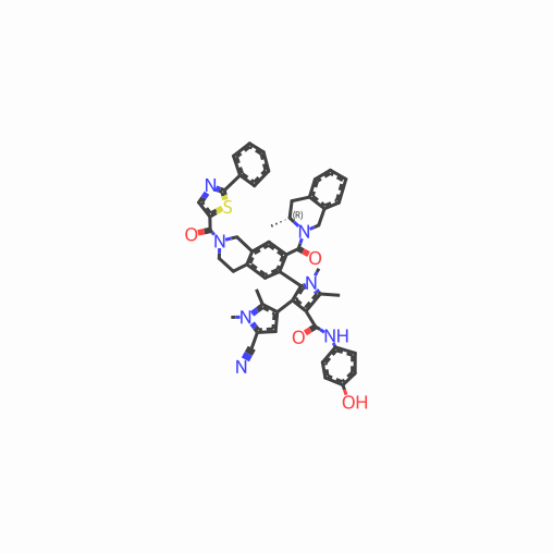 Cc1c(-c2c(C(=O)Nc3ccc(O)cc3)c(C)n(C)c2-c2cc3c(cc2C(=O)N2Cc4ccccc4C[C@H]2C)CN(C(=O)c2cnc(-c4ccccc4)s2)CC3)cc(C#N)n1C